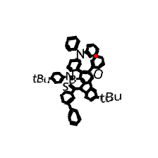 CC(C)(C)c1ccc(N2B3c4sc5ccc(-c6ccccc6)cc5c4C4c5ccc(C(C)(C)C)cc5-c5c4c3c(c3c5oc4ccccc43)-c3cc(N(c4ccccc4)c4ccccc4)ccc32)cc1